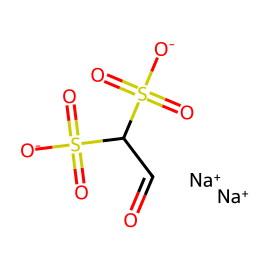 O=CC(S(=O)(=O)[O-])S(=O)(=O)[O-].[Na+].[Na+]